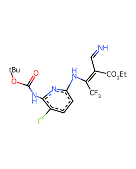 CCOC(=O)/C(C=N)=C(/Nc1ccc(F)c(NC(=O)OC(C)(C)C)n1)C(F)(F)F